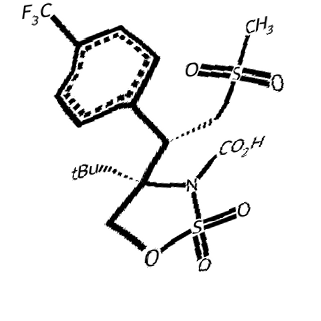 CC(C)(C)[C@@]1([C@@H](CS(C)(=O)=O)c2ccc(C(F)(F)F)cc2)COS(=O)(=O)N1C(=O)O